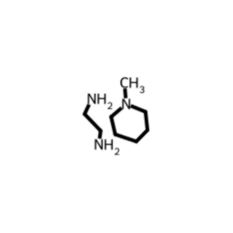 CN1CCCCC1.NCCN